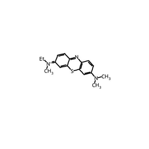 CC/[N+](C)=c1\ccc2nc3ccc(N(C)C)cc3sc-2c1